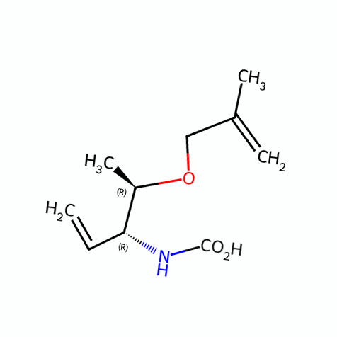 C=C[C@@H](NC(=O)O)[C@@H](C)OCC(=C)C